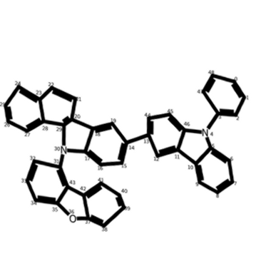 c1ccc(-n2c3ccccc3c3cc(-c4ccc5c(c4)c4ccc6ccccc6c4n5-c4cccc5oc6ccccc6c45)ccc32)cc1